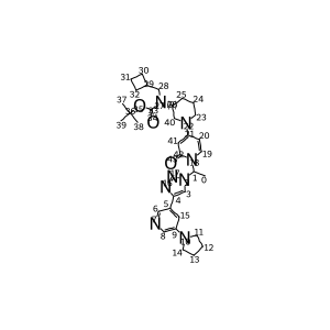 CC(n1cc(-c2cncc(N3CCCC3)c2)nn1)n1ccc(N2CCC[C@@H](N(CC3CCC3)C(=O)OC(C)(C)C)C2)cc1=O